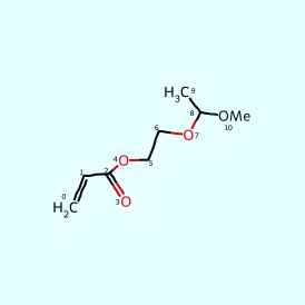 C=CC(=O)OCCOC(C)OC